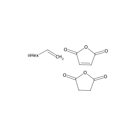 C=CCCCCCC.O=C1C=CC(=O)O1.O=C1CCC(=O)O1